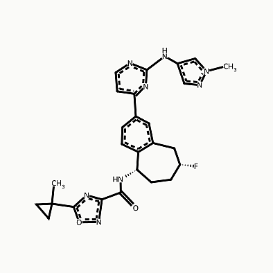 Cn1cc(Nc2nccc(-c3ccc4c(c3)C[C@H](F)CC[C@@H]4NC(=O)c3noc(C4(C)CC4)n3)n2)cn1